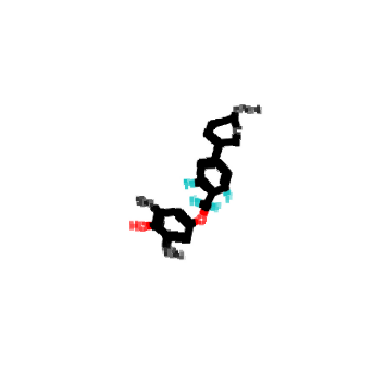 CCCCCC1CCC(c2cc(F)c(C(F)(F)Oc3cc(C(C)(C)C)c(O)c(C(C)(C)C)c3)c(F)c2)CC1